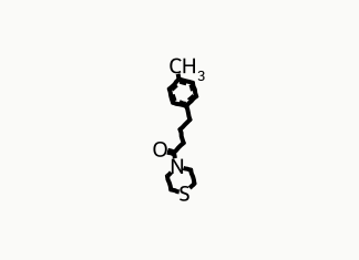 Cc1ccc(CCCC(=O)N2CCSCC2)cc1